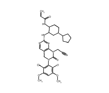 C=CC(=O)NC1CCC(C2CCCC2)CC1Nc1ncc2c(n1)N(CC#N)C(=O)N(c1c(Cl)c(OC)cc(OC)c1Cl)C2